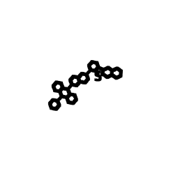 c1ccc(-c2c3ccccc3c(-c3ccc4cc(-c5cccc6c5sc5cc7ccccc7cc56)ccc4c3)c3ccccc23)cc1